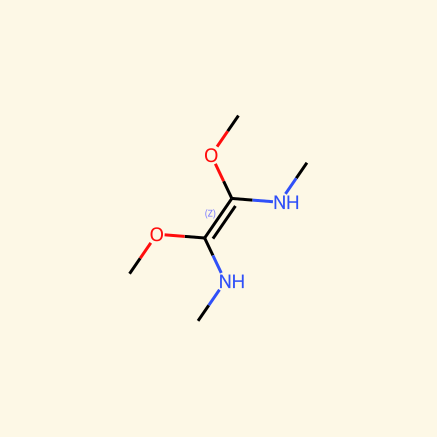 CN/C(OC)=C(\NC)OC